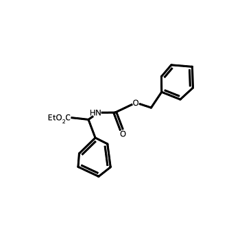 CCOC(=O)C(NC(=O)OCc1ccccc1)c1ccccc1